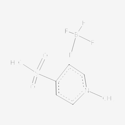 C[n+]1ccc(S(C)(=O)=O)cc1.F[B-](F)(F)F